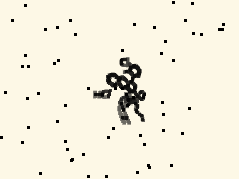 CCCCNC(=O)c1cc(-c2cccc(Cl)c2C)c2cc3ccccc3cc2c1N1CCNCC1.Cl